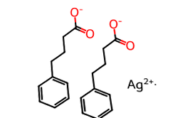 O=C([O-])CCCc1ccccc1.O=C([O-])CCCc1ccccc1.[Ag+2]